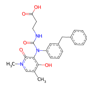 Cc1cn(C)c(=O)c(N(C(=O)NCCC(=O)O)c2cccc(Cc3ccccc3)c2)c1O